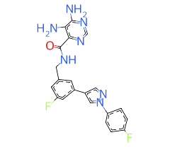 Nc1ncnc(C(=O)NCc2cc(F)cc(-c3cnn(-c4ccc(F)cc4)c3)c2)c1N